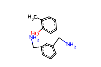 Cc1ccccc1O.NCc1cccc(CN)c1